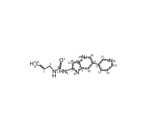 C=CCNC(=O)Nc1nc2cc(-c3cccnc3)cnc2s1